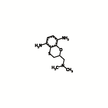 CN(C)CC1CSc2c(N)ccc(N)c2O1